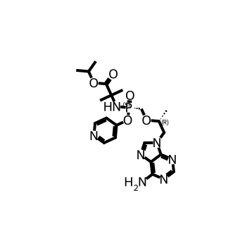 CC(C)OC(=O)C(C)(C)N[P@](=O)(CO[C@H](C)Cn1cnc2c(N)ncnc21)Oc1ccncc1